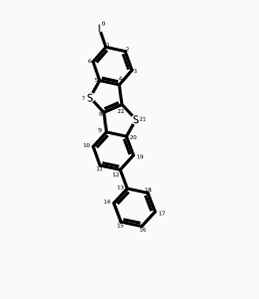 Ic1ccc2c(c1)sc1c3ccc(-c4ccccc4)cc3sc21